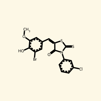 COc1cc(C=C2SC(=S)N(c3cccc(Cl)c3)C2=O)cc(Br)c1O